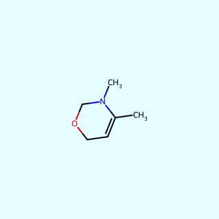 CC1=CCOCN1C